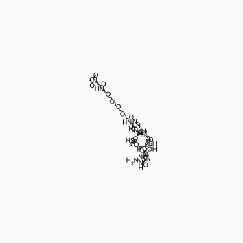 Nc1nc2c(ncn2[C@@H]2O[C@@H]3COP(=O)(S)OC4C(O)[C@@H](COP(=O)(S)OC3C2O)O[C@H]4n2cnc3c(NC(=O)CCOCCOCCOCCOCCNC(=O)CCN4C(=O)C=CC4=O)ncnc32)c(=O)[nH]1